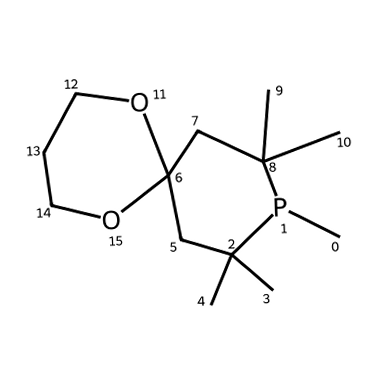 CP1C(C)(C)CC2(CC1(C)C)OCCCO2